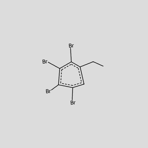 CCc1cc(Br)c(Br)c(Br)c1Br